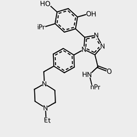 CCCNC(=O)c1nnc(-c2cc(C(C)C)c(O)cc2O)n1-c1ccc(CN2CCN(CC)CC2)cc1